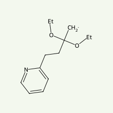 [CH2]C(CCc1ccccn1)(OCC)OCC